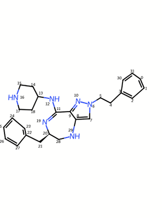 c1ccc(CCn2cc3c(n2)C(NC2CCNCC2)=N[C@H](Cc2ccccc2)CN3)cc1